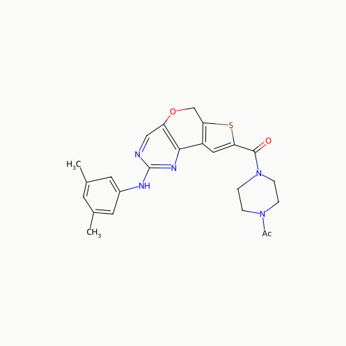 CC(=O)N1CCN(C(=O)c2cc3c(s2)COc2cnc(Nc4cc(C)cc(C)c4)nc2-3)CC1